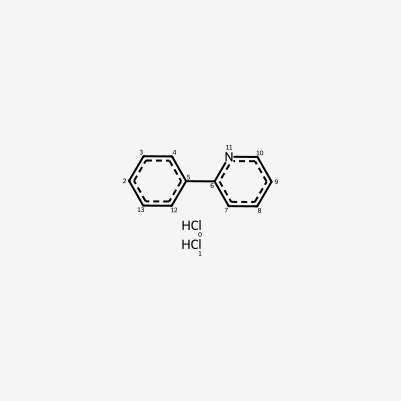 Cl.Cl.c1ccc(-c2ccccn2)cc1